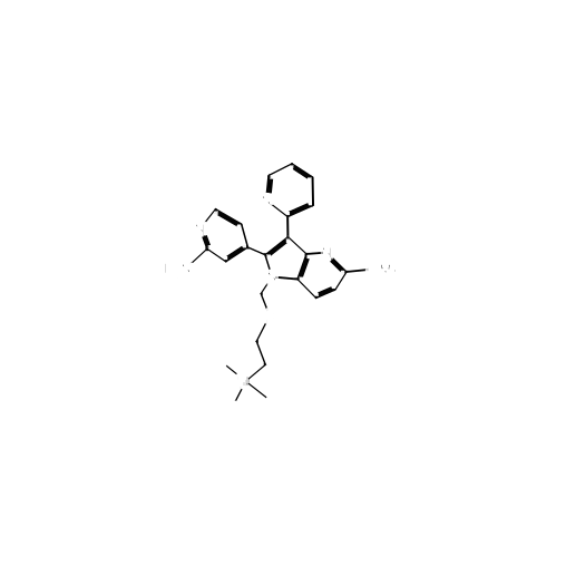 COc1ccc2c(n1)c(-c1ccccn1)c(-c1ccnc(N)c1)n2COCC[Si](C)(C)C